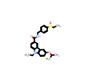 CCn1c2ccc(OC(C)C)cc2c2cc(C(=O)NCc3ccc([S+]([O-])CC)cc3)ccc21